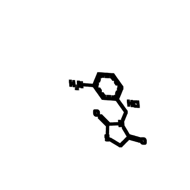 Cl.Nc1cccc(CN2C(=O)CSC2=O)c1